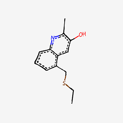 CCSCc1cccc2nc(C)c(O)cc12